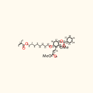 C=C(C)C(=O)OCCCCCCCCOc1ccc(OC(=O)c2ccccc2)c(OC)c1C=CC(=O)OC